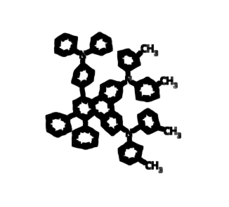 Cc1cccc(N(c2cccc(C)c2)c2ccc3c(c2)c2cc(N(c4cccc(C)c4)c4cccc(C)c4)ccc2c2c(-c4ccccc4)c(-c4ccccc4)cc(-c4ccc(N(c5ccccc5)c5ccccc5)cc4)c32)c1